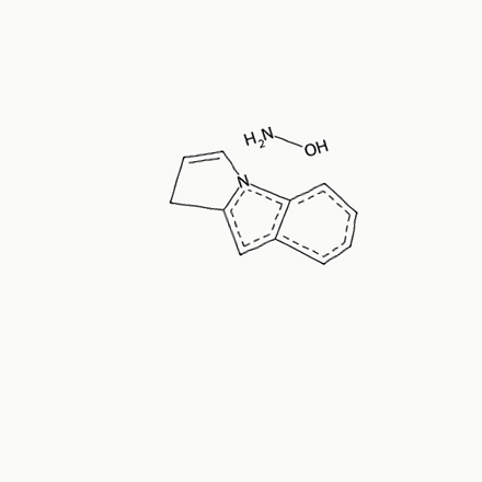 C1=Cn2c(cc3ccccc32)C1.NO